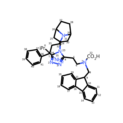 CC(C)c1nnc(CCN(CC2c3ccccc3-c3ccccc32)C(=O)O)n1C1CC2CCC(C1)N2CC[C@H](N)c1ccccc1